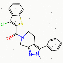 Cn1nc2c(c1-c1ccccc1)CCN(C(=O)c1sc3ccccc3c1Cl)C2